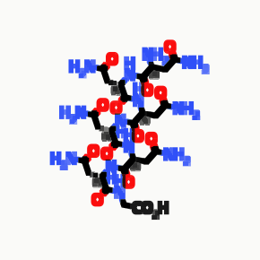 NC(=O)C[C@H](NC(=O)[C@H](CC(N)=O)NC(=O)[C@H](CC(N)=O)NC(=O)[C@H](CC(N)=O)NC(=O)[C@H](CC(N)=O)NC(=O)[C@@H](N)CC(N)=O)C(=O)NCC(=O)O